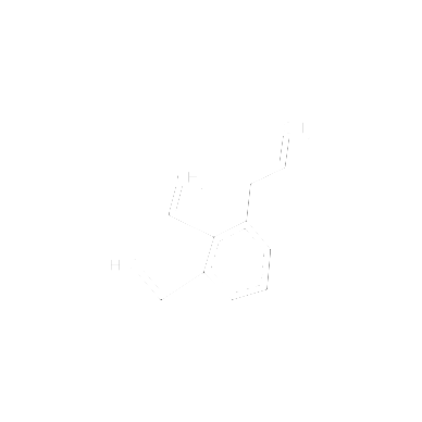 C=CCc1cccc(C=C)c1C=C